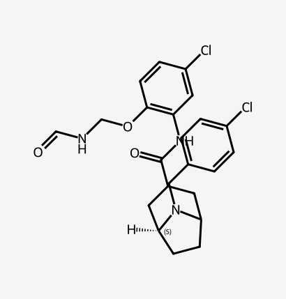 O=CNCOc1ccc(Cl)cc1NC(=O)C1CC2CC[C@@H](C1)N2Cc1ccc(Cl)cc1